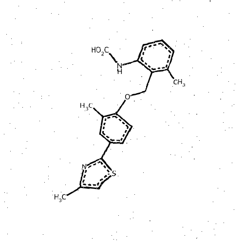 Cc1csc(-c2ccc(OCc3c(C)cccc3NC(=O)O)c(C)c2)n1